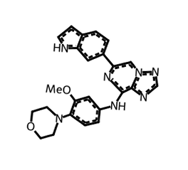 COc1cc(Nc2nc(-c3ccc4cc[nH]c4c3)cn3ncnc23)ccc1N1CCOCC1